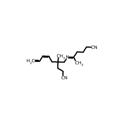 C=C/C=C\CC(C)(CCC#N)C/N=C(\C)CCCC#N